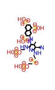 Cc1c(C#N)c(NCCS(=O)(=O)CCOS(=O)(=O)O)nc(NCCOS(=O)(=O)O)c1/N=N/c1cc2c(S(=O)(=O)O)cc(S(=O)(=O)O)cc2cc1S(=O)(=O)O